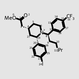 COC(=O)C[C@@H]1CCN([C@H](CCC(C)C)c2ccc(C(F)(F)F)cc2)[C@H](c2ccc(I)cc2)C1